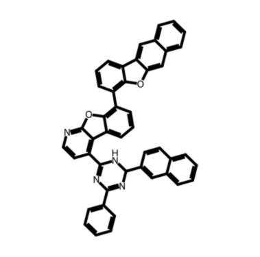 c1ccc(C2=NC(c3ccc4ccccc4c3)NC(c3ccnc4oc5c(-c6cccc7c6oc6cc8ccccc8cc67)cccc5c34)=N2)cc1